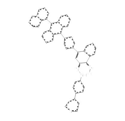 C/N=C1\C(=N/Nc2ccc(-c3ccncc3)cc2)C=C(c2ccc(-c3c4ccccc4c(-c4cccc5ccccc45)c4ccccc34)cc2)c2ccccc21